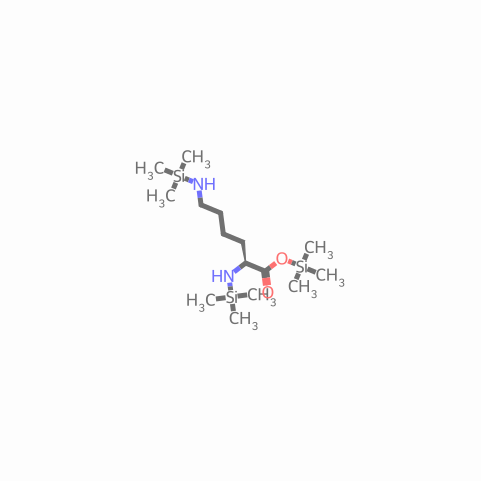 C[Si](C)(C)NCCCC[C@H](N[Si](C)(C)C)C(=O)O[Si](C)(C)C